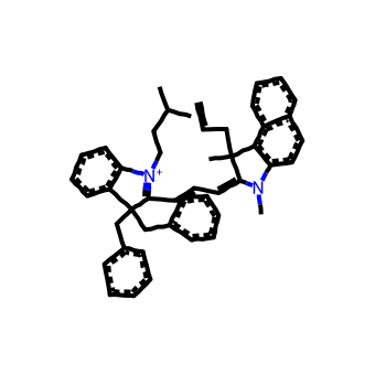 C=CCC1(C)/C(=C\C=C\C2=[N+](CCC(C)C)c3ccccc3C2(Cc2ccccc2)Cc2ccccc2)N(C)c2ccc3ccccc3c21